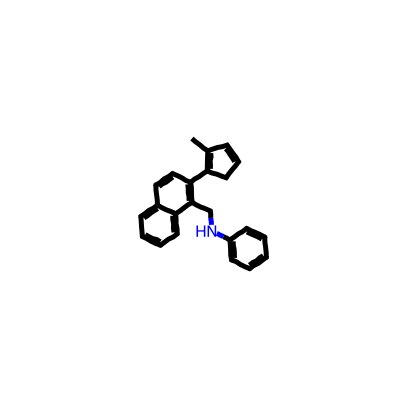 CC1=C(c2ccc3ccccc3c2CNc2ccccc2)CC=C1